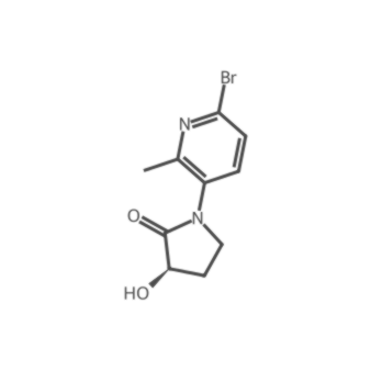 Cc1nc(Br)ccc1N1CC[C@@H](O)C1=O